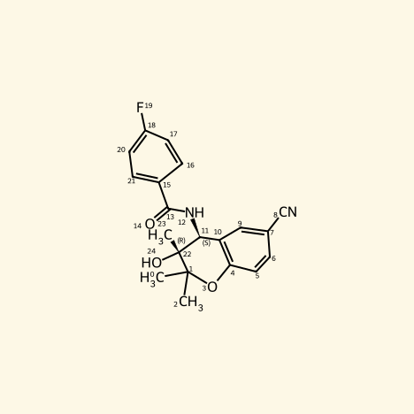 CC1(C)Oc2ccc(C#N)cc2[C@H](NC(=O)c2ccc(F)cc2)[C@@]1(C)O